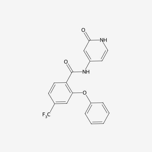 O=C(Nc1cc[nH]c(=O)c1)c1ccc(C(F)(F)F)cc1Oc1ccccc1